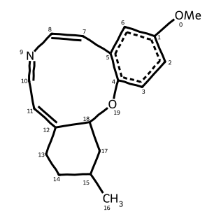 COc1ccc2c(c1)C=CN=CC=C1CCC(C)CC1O2